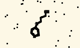 OCCC[N]c1ccncc1